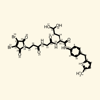 Cc1ccc(Cc2ccc(NC(=O)[C@H](CCC(O)O)NC(=O)CNC(=O)CCN3C(=O)C(Br)=C(Br)C3=O)cc2)s1